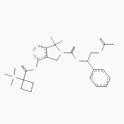 CC(=O)OCC(NC(=O)N1Cc2c(NC(=O)C3([Si](C)(C)C)CCC3)n[nH]c2C1(C)C)c1ccccc1